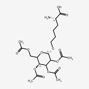 CC(=O)OCC1O[C@H](OCCCC[C@H](N)C(=O)O)C(OC(C)=O)C(OC(C)=O)[C@H]1OC(C)=O